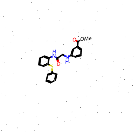 COC(=O)c1cccc(NCC(=O)Nc2ccccc2Sc2ccccc2)c1